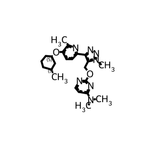 Cc1nc(-c2nnn(C)c2COc2nccc(N(C)C)n2)ccc1O[C@H]1CCC[C@H](C)C1